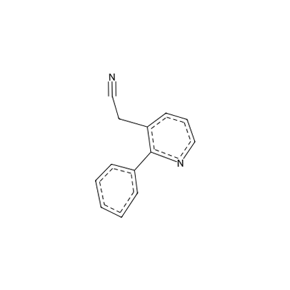 N#CCc1cccnc1-c1ccccc1